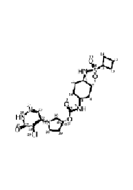 O=C(NC1CCC(NS(=O)(=O)C2CCC2)CC1)O[C@@H]1CCN(c2cn[nH]c(=O)c2Cl)C1